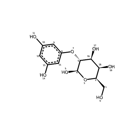 OC[C@H]1O[C@@H](O)[C@H](Oc2cc(O)cc(O)c2)[C@@H](O)[C@H]1O